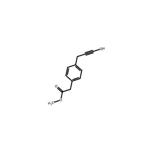 COC(=O)Cc1ccc(CC#CO)cc1